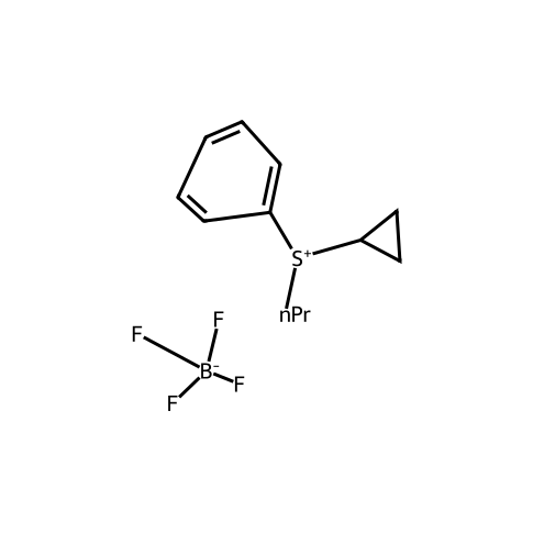 CCC[S+](c1ccccc1)C1CC1.F[B-](F)(F)F